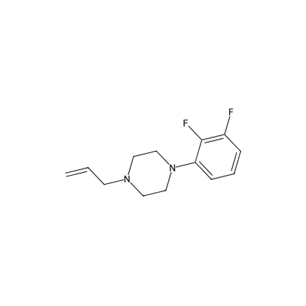 C=CCN1CCN(c2cccc(F)c2F)CC1